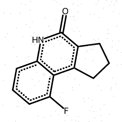 O=c1[nH]c2cccc(F)c2c2c1CCC2